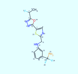 CC(F)c1nnc(-c2cnc(CNc3cccc(C(F)(F)P)c3)s2)o1